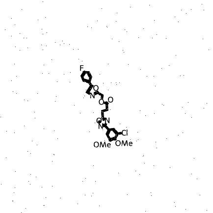 COc1cc(-c2noc(CCC(=O)OCc3ncc(-c4ccc(F)cc4)o3)n2)cc(Cl)c1OC